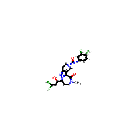 CN1CCC(C(O)CC(F)F)n2nc3c(c2C1=O)CN(C(=O)Nc1ccc(F)c(Cl)c1)CC3